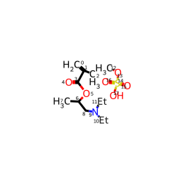 C=C(C)C(=O)OC(C)CN(CC)CC.COS(=O)(=O)O